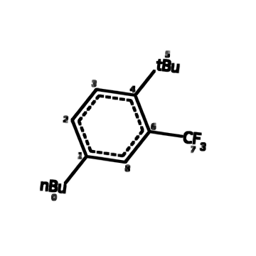 [CH2]CCCc1ccc(C(C)(C)C)c(C(F)(F)F)c1